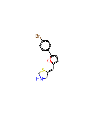 Brc1ccc(-c2ccc(C=C3CNCS3)o2)cc1